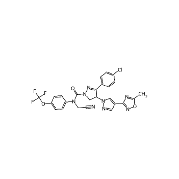 Cc1nc(-c2cnn(C3CN(C(=O)N(CC#N)c4ccc(OC(F)(F)F)cc4)N=C3c3ccc(Cl)cc3)c2)no1